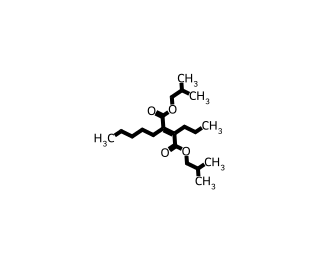 CCCCCC(C(=O)OCC(C)C)=C(CCC)C(=O)OCC(C)C